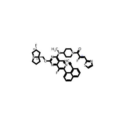 C#Cc1cccc2cccc(-c3ncc4c(N(C)C5CCN(C(=O)/C(F)=C/c6nccs6)CC5)nc(OC[C@@]56CCCN5C[C@H](F)C6)nc4c3F)c12